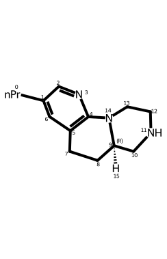 CCCc1cnc2c(c1)CC[C@@H]1CNCCN21